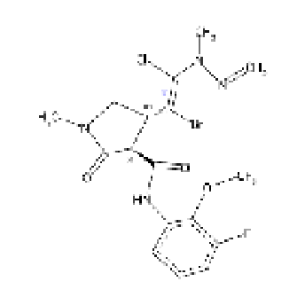 C=NN(C)/C(Cl)=C(\Br)[C@H]1CN(C)C(=O)[C@@H]1C(=O)Nc1cccc(F)c1OC(F)(F)F